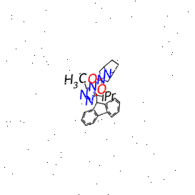 Cc1nnc(C(C)C)n1N1CC2CCC(C1)N2C(=O)OCC1c2ccccc2-c2ccccc21